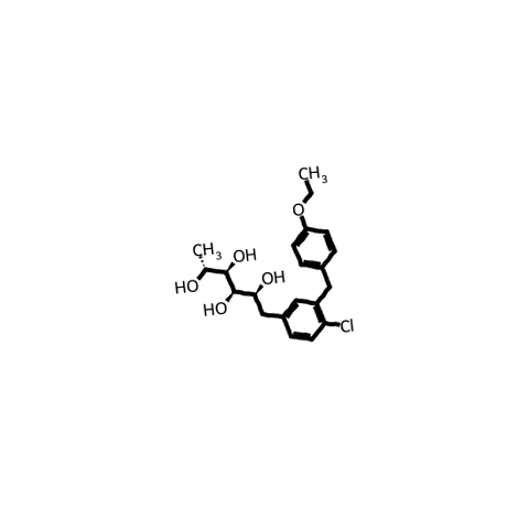 CCOc1ccc(Cc2cc(C[C@H](O)[C@@H](O)[C@H](O)[C@@H](C)O)ccc2Cl)cc1